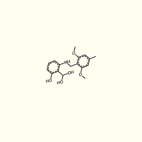 COc1cc(C)cc(OC)c1CNc1cccc(O)c1C(O)O